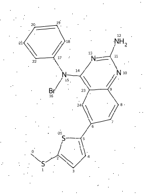 CSc1ccc(-c2ccc3nc(N)nc(N(Br)c4ccccc4)c3c2)s1